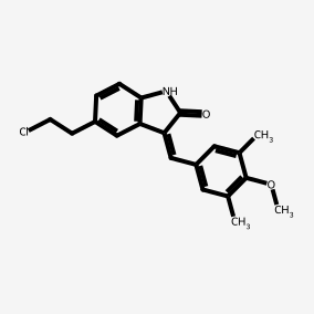 COc1c(C)cc(C=C2C(=O)Nc3ccc(CCCl)cc32)cc1C